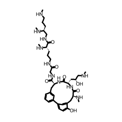 CNCCC[C@@H](CNC(=O)[C@H](CCCNC(=O)CNC(=O)[C@@H]1Cc2cccc(c2)-c2ccc(O)c(c2)C[C@H](NC)C(=O)N[C@@H](C[C@@H](O)CNC)C(=O)N1)NC)NC